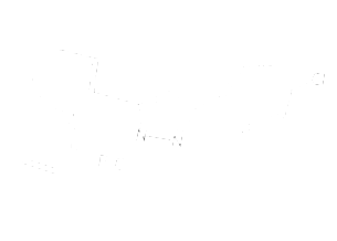 FC(F)(F)n1nc(-c2ccc(Cl)cc2)cc1-c1cccc2ccccc12